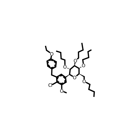 CCCCOC[C@H]1O[C@@H](c2cc(Cc3ccc(OCC)cc3)c(Cl)c(OC)c2)[C@H](OCCCC)[C@@H](OCCCC)[C@@H]1OCCCC